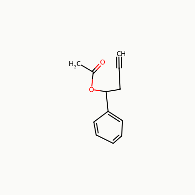 C#CCC(OC(C)=O)c1ccccc1